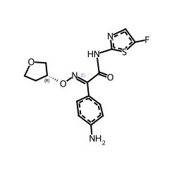 Nc1ccc(/C(=N\O[C@@H]2CCOC2)C(=O)Nc2ncc(F)s2)cc1